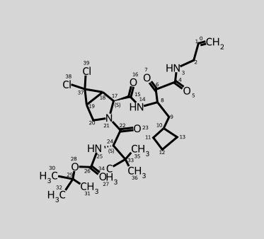 C=CCNC(=O)C(=O)C(CC1CCC1)NC(=O)[C@@H]1C2C(CN1C(=O)[C@@H](NC(=O)OC(C)(C)C)C(C)(C)C)C2(Cl)Cl